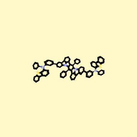 c1ccc(-c2c3c4cccc5c6cc(-c7cccc(N(c8ccccc8)c8cccc9c8sc8ccccc89)c7)ccc6n(c3c(-c3ccccc3)c3c6cccc7c8cc(-c9cccc(N(c%10ccccc%10)c%10cccc%11c%10sc%10ccccc%10%11)c9)ccc8n(c23)c76)c54)cc1